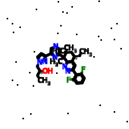 CC[C@H](O)Cn1ccc(-c2cncc([C@@]3(C)c4nnc(-c5c(F)cccc5F)cc4[C@H](CC)CC3(C)C)n2)n1